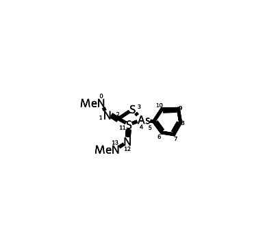 CN/N=C1\S[As](c2ccccc2)\S1=N\NC